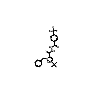 CC(C)(C)c1cc(C(=O)NNC(=O)c2ccc(C(F)(F)F)cc2)n(Cc2ccccc2)n1